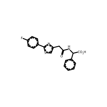 O=C(Cc1csc(-c2ccc(F)cc2)n1)NC(C(=O)O)c1ccccc1